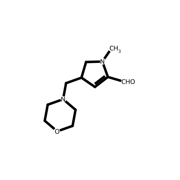 CN1CC(CN2CCOCC2)C=C1C=O